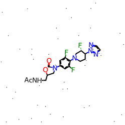 CC(=O)NCC1CN(c2cc(F)c(N3CCC(n4nccn4)[C@@H](F)C3)c(F)c2)C(=O)O1